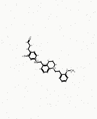 COc1ccccc1CCN1CCCc2c(CNc3ccc(CCC=O)c(F)c3)cccc21